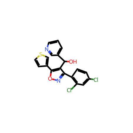 OC(c1cccnc1)c1c(-c2ccc(Cl)cc2Cl)noc1-c1ccsc1